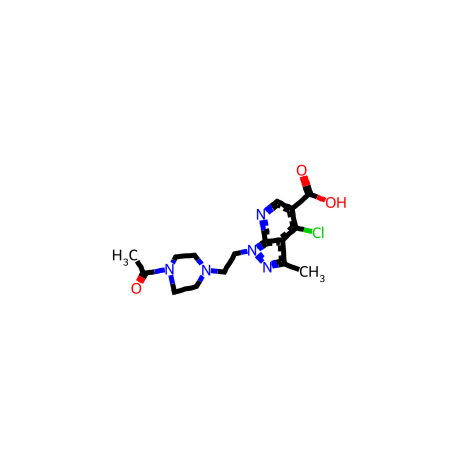 CC(=O)N1CCN(CCn2nc(C)c3c(Cl)c(C(=O)O)cnc32)CC1